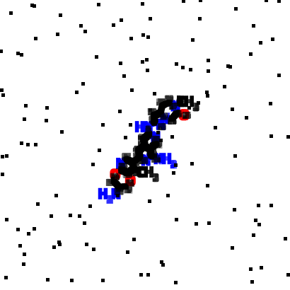 Cc1c(-c2cc3cc(Nc4cc5n(n4)CC(=O)N(C)CC5)ncc3c(N)n2)cnc2c1OCC(N)CO2